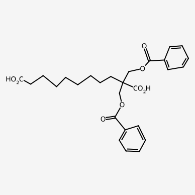 O=C(O)CCCCCCCCC(COC(=O)c1ccccc1)(COC(=O)c1ccccc1)C(=O)O